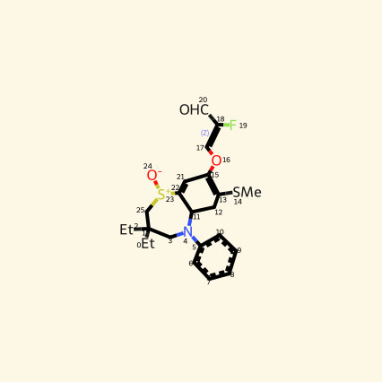 CCC1(CC)CN(c2ccccc2)C2CC(SC)=C(O/C=C(\F)C=O)C=C2[S+]([O-])C1